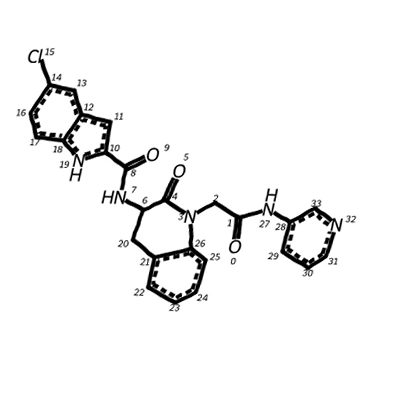 O=C(CN1C(=O)C(NC(=O)c2cc3cc(Cl)ccc3[nH]2)Cc2ccccc21)Nc1cccnc1